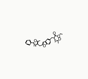 CCOC(=O)C(Cc1ccc2oc(Cc3nc(-c4ccccc4)oc3C)cc2c1)SC(C)=O